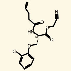 C=CCCC(=O)N[C@@H](COc1ccccc1Cl)C(=O)OCC#N